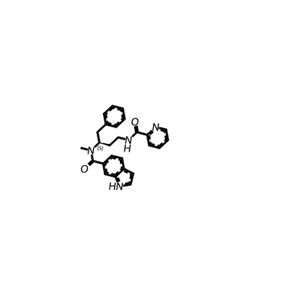 CN(C(=O)c1ccc2cc[nH]c2c1)[C@H](CCNC(=O)c1ccccn1)Cc1ccccc1